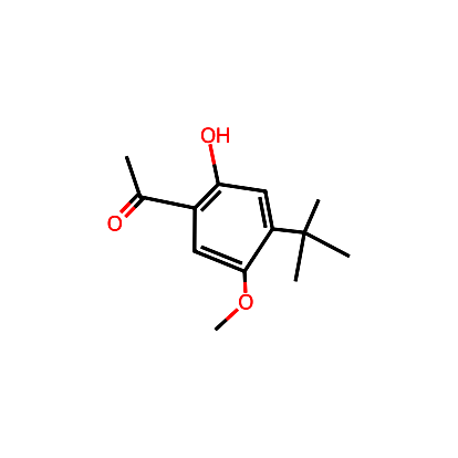 COc1cc(C(C)=O)c(O)cc1C(C)(C)C